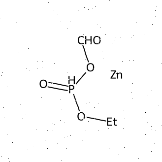 CCO[PH](=O)OC=O.[Zn]